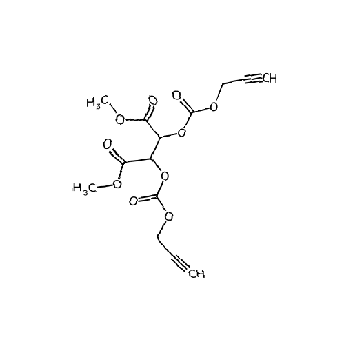 C#CCOC(=O)OC(C(=O)OC)C(OC(=O)OCC#C)C(=O)OC